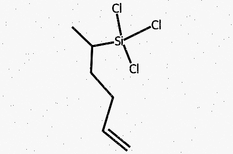 C=CCCC(C)[Si](Cl)(Cl)Cl